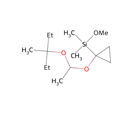 CCC(C)(CC)OC(C)OC1([Si](C)(C)OC)CC1